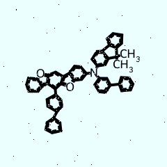 CC1(C)c2ccccc2-c2ccc(N(c3cccc(-c4ccccc4)c3)c3ccc4c(c3)oc3c(-c5ccc(-c6ccccc6)cc5)c5c(cc34)oc3ccccc35)cc21